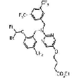 CCOC(=O)CCCOc1cnc(N(Cc2cc(C(F)(F)F)cc(C(F)(F)F)c2)Cc2cc(C(F)(F)F)ccc2OC(CC)CC)nc1